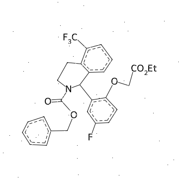 CCOC(=O)COc1ccc(F)cc1C1c2cccc(C(F)(F)F)c2CCN1C(=O)OCc1ccccc1